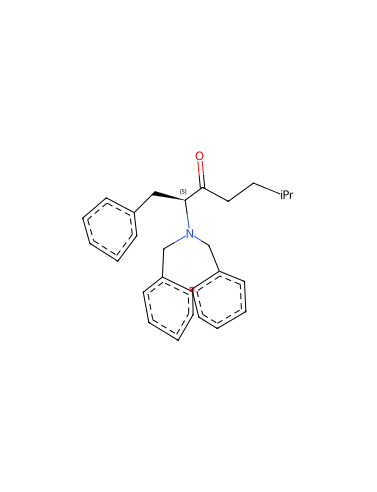 CC(C)CCC(=O)[C@H](Cc1ccccc1)N(Cc1ccccc1)Cc1ccccc1